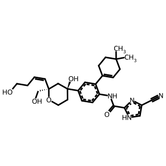 CC1(C)CC=C(c2cc([C@]3(O)CCO[C@](/C=C\CCO)(CO)C3)ccc2NC(=O)c2nc(C#N)c[nH]2)CC1